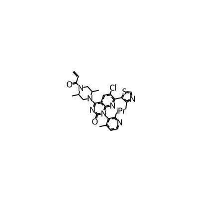 C=CC(=O)N1CC(C)N(c2nc(=O)n(-c3c(C)ccnc3C(C)C)c3nc(-c4scnc4C)c(Cl)cc23)CC1C